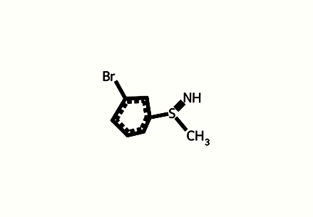 CS(=N)c1cccc(Br)c1